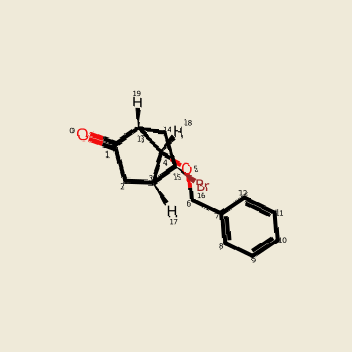 O=C1C[C@@H]2[C@@H](OCc3ccccc3)[C@H]1C[C@H]2Br